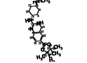 CN[C@H]1CC[C@H](NC2=Nc3ccc(B4OC(C)(C)C(C)(C)O4)cc3CN2)CC1